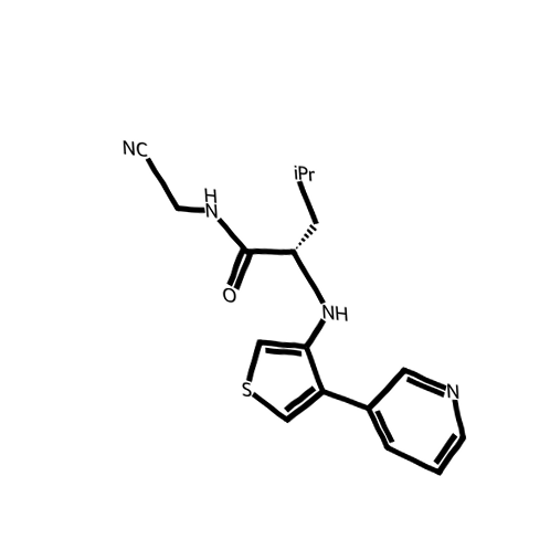 CC(C)C[C@H](Nc1cscc1-c1cccnc1)C(=O)NCC#N